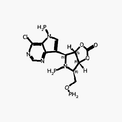 O=C1O[C@@H]2[C@H](O1)[C@@H](COP)N(P)[C@H]2c1cn(P)c2c(Cl)ncnc12